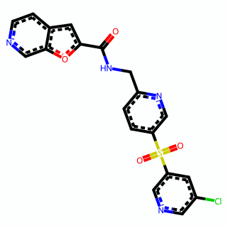 O=C(NCc1ccc(S(=O)(=O)c2cncc(Cl)c2)cn1)c1cc2ccncc2o1